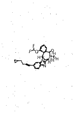 [2H]C([2H])([2H])N1C(=O)c2cccc(OC(F)F)c2[C@H]2C[C@@H]1c1nc3ccc(C#CCCC4CC4)cc3n12